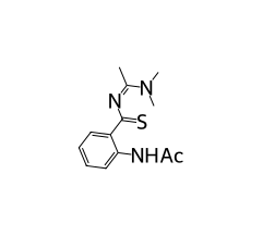 CC(=O)Nc1ccccc1C(=S)N=C(C)N(C)C